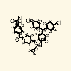 NC(=O)c1ccc(C(=O)N2CCC(n3c(C4CC4)nc4ccc(C(c5ccc(Cl)cc5)c5ccc(Cl)cc5)cc43)CC2)cc1